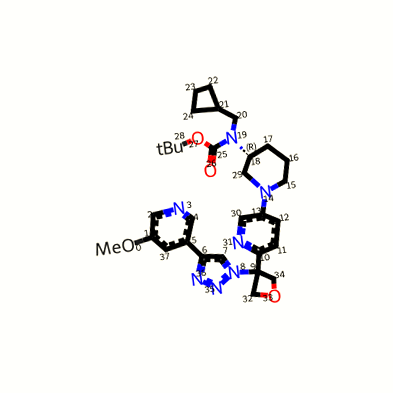 COc1cncc(-c2cn(C3(c4ccc(N5CCC[C@@H](N(CC6CCC6)C(=O)OC(C)(C)C)C5)cn4)COC3)nn2)c1